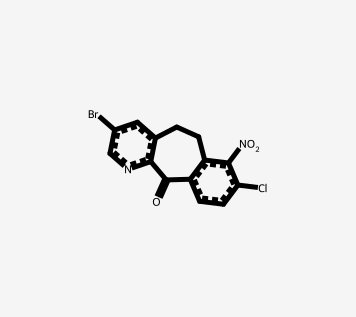 O=C1c2ccc(Cl)c([N+](=O)[O-])c2CCc2cc(Br)cnc21